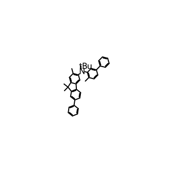 Cc1ccc(-c2ccccc2)cc1N(c1cc2c(cc1C)C(C)(C)c1cc(-c3ccccc3)ccc1-2)C(C)(C)C